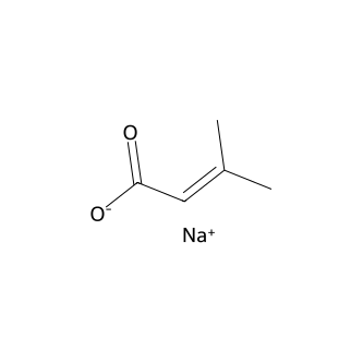 CC(C)=CC(=O)[O-].[Na+]